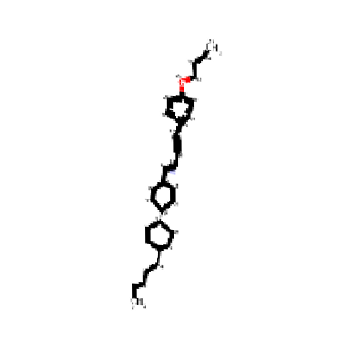 CCCCC[C@H]1CC[C@H](C2CCC(/C=C/C#Cc3ccc(OCCCC)cc3)CC2)CC1